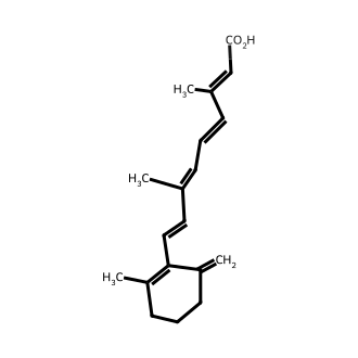 C=C1CCCC(C)=C1/C=C/C(C)=C/C=C/C(C)=C/C(=O)O